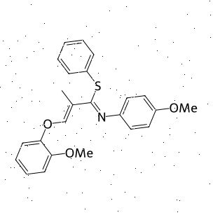 COc1ccc(N=C(Sc2ccccc2)C(C)=COc2ccccc2OC)cc1